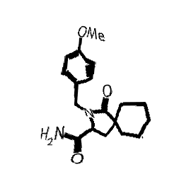 COc1ccc(CN2C(=O)C3(C[CH]CCC3)CC2C(N)=O)cc1